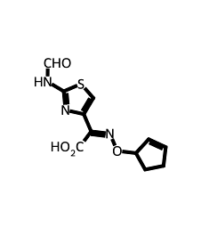 O=CNc1nc(C(=NOC2C=CCC2)C(=O)O)cs1